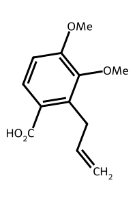 C=CCc1c(C(=O)O)ccc(OC)c1OC